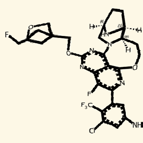 Nc1cc(Cl)c(C(F)(F)F)c(-c2nc3c4c(nc(OCC56COC(CF)(C5)C6)nc4c2F)N2C[C@H]4CC[C@H](N4)[C@H]2CCO3)c1